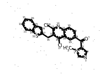 Cn1cncc1C(=O)c1ccc2nc(Cl)c(Cc3cc4ccccc4s3)c(Cl)c2c1